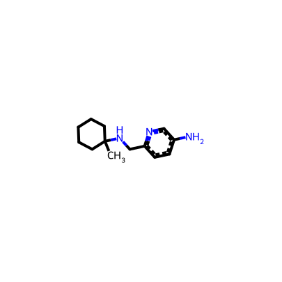 CC1(NCc2ccc(N)cn2)CCCCC1